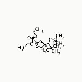 CCOP(=O)(OCC)[C@@H]1SC[C@H](C(O[SiH](C)C)C(C)(C)C)S1